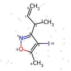 C=CC(C)c1noc(C)c1I